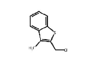 Cc1c(CCl)sc2ccccc12